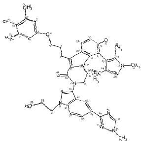 Cc1cc(OCCCc2c3n(c4c(-c5c(C)nn(C)c5C)c(Cl)ccc24)[C@H](C)CN(c2cn(CCO)c4ccc(-c5ncn(C)n5)cc24)C3=O)cc(C)c1Cl